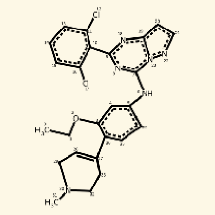 CCOc1cc(Nc2nc(-c3c(Cl)cccc3Cl)nc3ccnn23)ccc1C1=CCN(C)CC1